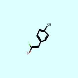 N#Cc1ccc(/C=C(\F)Br)cc1